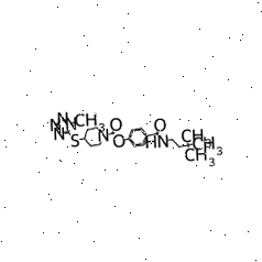 Cn1nnnc1SC1CCN(C(=O)Oc2ccc(C(=O)NCCC(C)(C)C)cc2)CC1